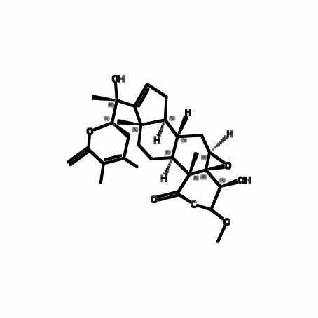 C=C1O[C@@H]([C@](C)(O)C2=CC[C@H]3[C@@H]4C[C@H]5O[C@]56[C@@H](O)C(OC)CC(=O)[C@]6(C)[C@H]4CC[C@]23C)CC(C)=C1C